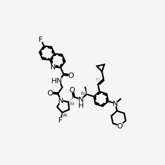 C[C@H](NC(=O)[C@@H]1C[C@@H](F)CN1C(=O)CNC(=O)c1ccc2cc(F)ccc2n1)c1ccc(N(C)C2CCOCC2)cc1/C=C/C1CC1